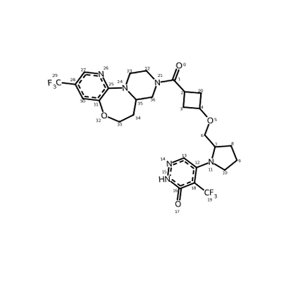 O=C(C1CC(OCC2CCCN2c2cn[nH]c(=O)c2C(F)(F)F)C1)N1CCN2c3ncc(C(F)(F)F)cc3OCCC2C1